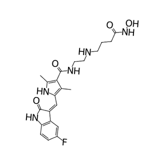 Cc1[nH]c(/C=C2\C(=O)Nc3ccc(F)cc32)c(C)c1C(=O)NCCNCCCC(=O)NO